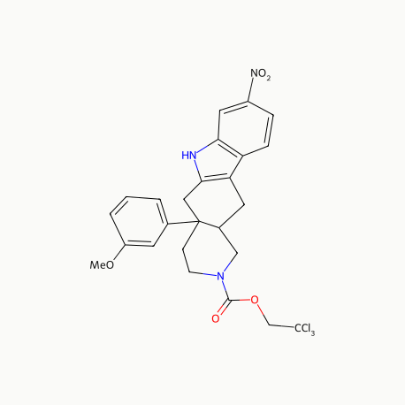 COc1cccc(C23CCN(C(=O)OCC(Cl)(Cl)Cl)CC2Cc2c([nH]c4cc([N+](=O)[O-])ccc24)C3)c1